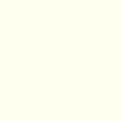 CC1(C)C2CCC(C)(C34CC(CCC3(C)C3(C)CCC5CC3(CCC(=O)O)C5(C)C)C4(C)C)C1C2